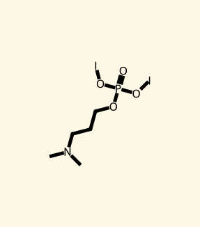 CN(C)CCCOP(=O)(OI)OI